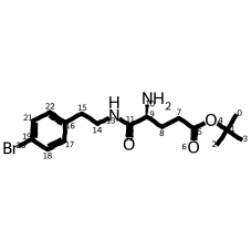 CC(C)(C)OC(=O)CC[C@H](N)C(=O)NCCc1ccc(Br)cc1